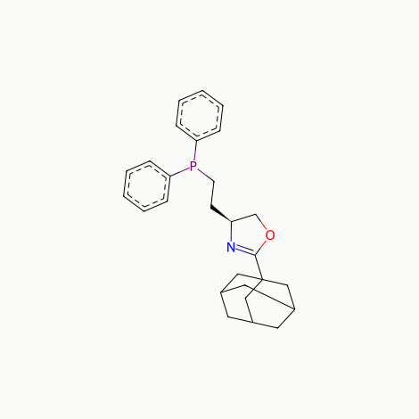 c1ccc(P(CC[C@H]2COC(C34CC5CC(CC(C5)C3)C4)=N2)c2ccccc2)cc1